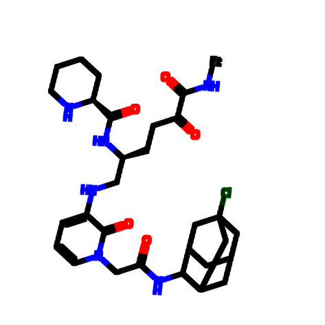 CCNC(=O)C(=O)CC[C@@H](CNc1cccn(CC(=O)NC2C3CC4CC2CC(Cl)(C4)C3)c1=O)NC(=O)[C@@H]1CCCCN1